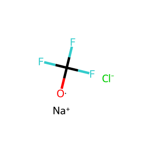 [Cl-].[Na+].[O]C(F)(F)F